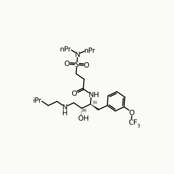 CCCN(CCC)S(=O)(=O)CCC(=O)N[C@@H](Cc1cccc(OC(F)(F)F)c1)[C@H](O)CNCCC(C)C